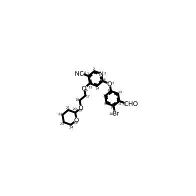 N#Cc1cnc(Oc2ccc(Br)c(C=O)c2)cc1OCCOC1CCCCO1